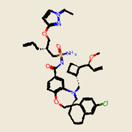 C=CC[C@H](COc1ccn(CC)n1)CS(N)(=O)=NC(=O)c1ccc2c(c1)N(C[C@@H]1CC[C@H]1[C@H](C=C)OC)C[C@@]1(CCCc3cc(Cl)ccc31)CO2